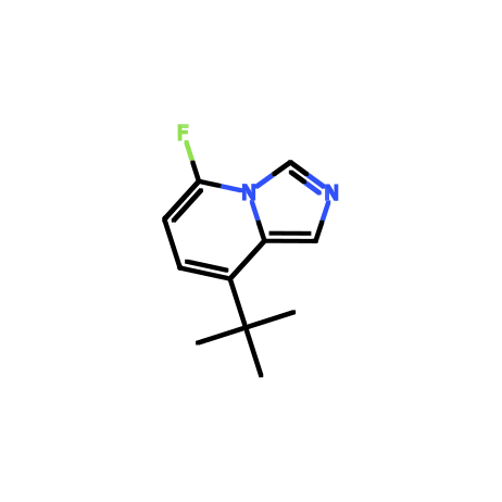 CC(C)(C)c1ccc(F)n2cncc12